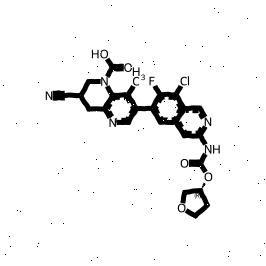 Cc1c(-c2cc3cc(NC(=O)O[C@@H]4CCOC4)ncc3c(Cl)c2F)cnc2c1N(C(=O)O)CC(C#N)C2